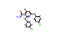 Cc1cc(Cc2ccc(Cl)cc2)nc(Cc2ccc(Cl)cc2)c1C(N)=O